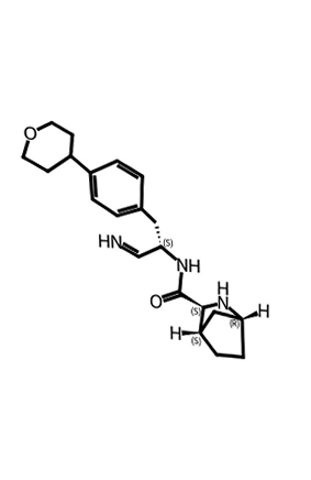 N=C[C@H](Cc1ccc(C2CCOCC2)cc1)NC(=O)[C@H]1N[C@@H]2CC[C@H]1C2